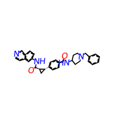 O=C(NC1CCN(Cc2ccccc2)CC1)c1ccc([C@@H]2C[C@H]2C(=O)Nc2ccc3cnccc3c2)cc1